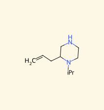 C=CCC1CNCCN1C(C)C